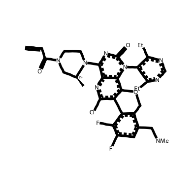 C=CC(=O)N1CCN(c2nc(=O)n(-c3c(CC)ncnc3CC)c3c4c(c(Cl)nc23)-c2c(F)c(F)cc(CNC)c2CO4)[C@@H](C)C1